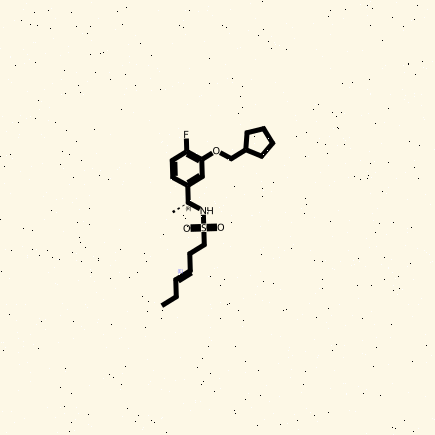 CC/C=C/CCS(=O)(=O)N[C@H](C)c1ccc(F)c(OCC2CCCC2)c1